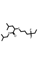 CCC(F)(F)CCCSC(CC(C)C)C(=O)OCC(C)C